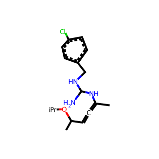 CC(=C=CC(C)OC(C)C)NC(N)NCc1ccc(Cl)cc1